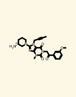 CC#CCn1c(N2CCC[C@@H](N)C2)nc2c1c(=O)n(CC(=O)c1cccc(OC)c1)c(=O)n2C